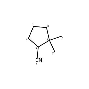 CC1(C)CCCC1C#N